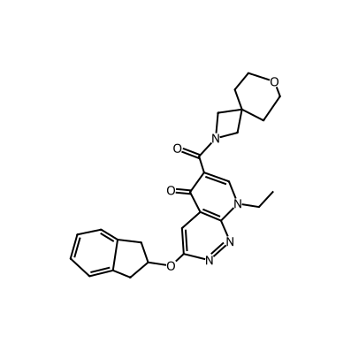 CCn1cc(C(=O)N2CC3(CCOCC3)C2)c(=O)c2cc(OC3Cc4ccccc4C3)nnc21